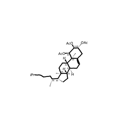 CC(=O)O[C@H]1[C@H](OC(C)=O)CC2=CC[C@H]3[C@@H]4CC[C@H]([C@H](C)CCCC(C)C)[C@@]4(C)CC[C@@H]3[C@@]2(C)[C@H]1OC(C)=O